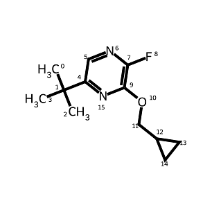 CC(C)(C)c1cnc(F)c(OCC2CC2)n1